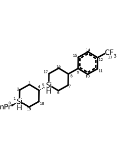 CCC[Si@H]1CC[C@H]([SiH]2CCC(c3ccc(C(F)(F)F)cc3)CC2)CC1